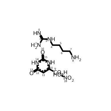 N=C(N)NCCCCN.O=C(O)c1cc(=O)[nH]c(=O)[nH]1.O=[N+]([O-])O